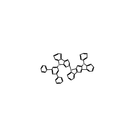 c1ccc(-c2cc(-c3ccccc3)cc(-n3c4ccccc4c4ccc(-n5c6ccccc6c6cc7c8ccccc8n(-c8ccccc8)c7cc65)cc43)c2)cc1